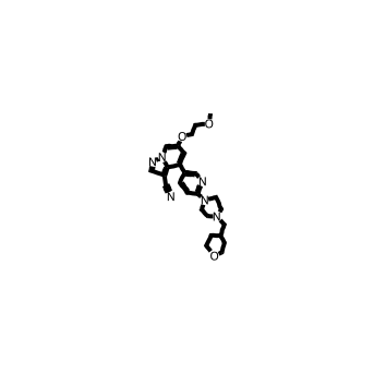 COCCOc1cc(-c2ccc(N3CCN(CC4CCOCC4)CC3)nc2)c2c(C#N)cnn2c1